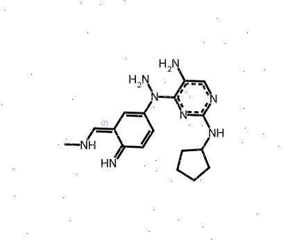 CN/C=C1/C=C(N(N)c2nc(NC3CCCC3)ncc2N)C=CC1=N